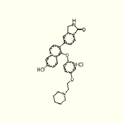 Cl.O=C1NCc2cc(-c3ccc4cc(O)ccc4c3Oc3ccc(OCCN4CCCCC4)cc3)ccc21